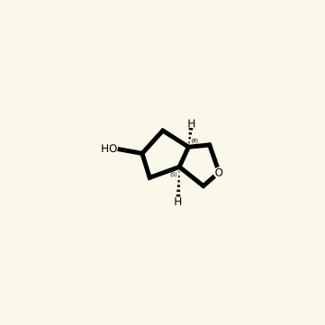 OC1C[C@H]2COC[C@H]2C1